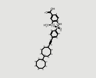 COc1cc(C(=O)O)ccc1NS(=O)(=O)c1ccc(C#CC2CCCC(C3CCCCCCC3)CCC2)cc1